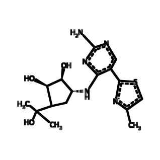 Cc1csc(-c2cnc(N)nc2N[C@@H]2CC(C(C)(C)O)[C@@H](O)[C@H]2O)n1